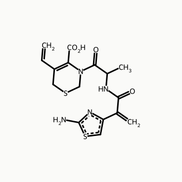 C=CC1=C(C(=O)O)N(C(=O)C(C)NC(=O)C(=C)c2csc(N)n2)CSC1